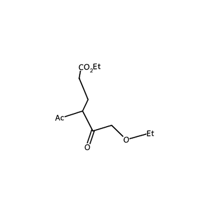 CCOCC(=O)C(CCC(=O)OCC)C(C)=O